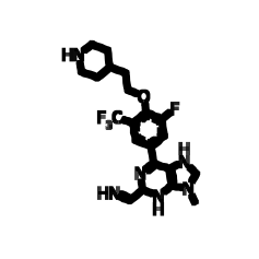 CN1CNC2=C1NC(C=N)N=C2c1cc(F)c(OCCC2CCNCC2)c(C(F)(F)F)c1